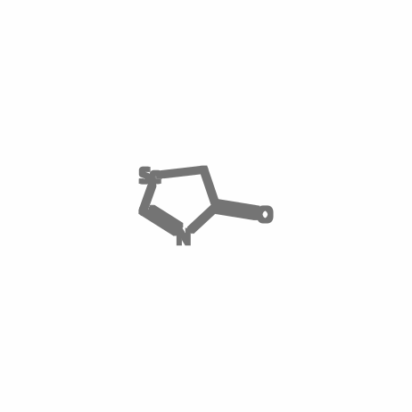 O=C1C[Se]C=N1